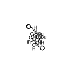 CC[C@H](C)[C@H](NCCc1ccccc1)C(=O)NC(=O)[C@@H](C[C@H](O)[C@H](CC1CCCCC1)NC(=O)OC(C)(C)C)C(C)C